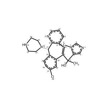 Cn1cncc1C(C)(O)C1=Cc2cccnc2[C@@H](N2CCNCC2)c2ccc(Cl)cc21